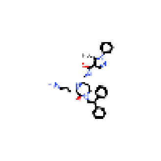 Cc1c(C(=O)NC[C@@H]2CCN(CC(c3ccccc3)c3ccccc3)C(=O)[C@H](CCCN)N2)cnn1-c1ccccc1